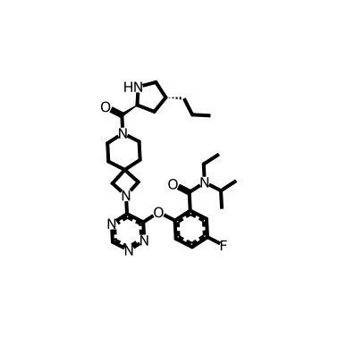 CCC[C@H]1CN[C@H](C(=O)N2CCC3(CC2)CN(c2ncnnc2Oc2ccc(F)cc2C(=O)N(CC)C(C)C)C3)C1